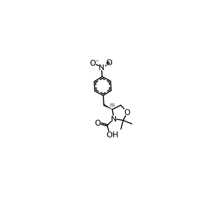 CC1(C)OC[C@H](Cc2ccc([N+](=O)[O-])cc2)N1C(=O)O